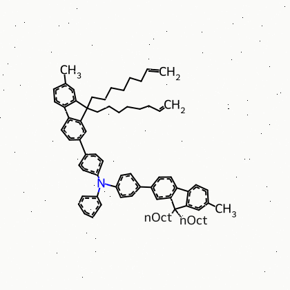 C=CCCCCCCC1(CCCCCCC=C)c2cc(C)ccc2-c2ccc(-c3ccc(N(c4ccccc4)c4ccc(-c5ccc6c(c5)C(CCCCCCCC)(CCCCCCCC)c5cc(C)ccc5-6)cc4)cc3)cc21